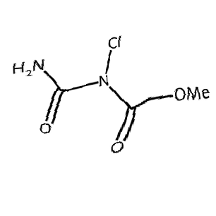 COC(=O)N(Cl)C(N)=O